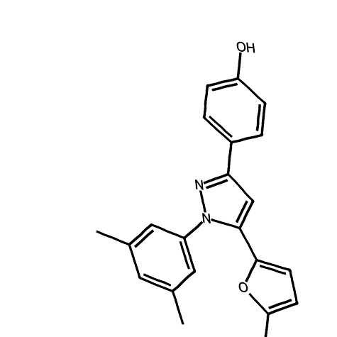 Cc1cc(C)cc(-n2nc(-c3ccc(O)cc3)cc2-c2ccc(C)o2)c1